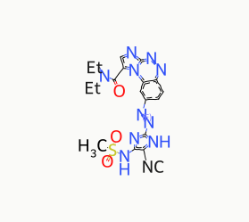 [C-]#[N+]c1[nH]c(/N=N/c2ccc3nnc4ncc(C(=O)N(CC)CC)n4c3c2)nc1NS(C)(=O)=O